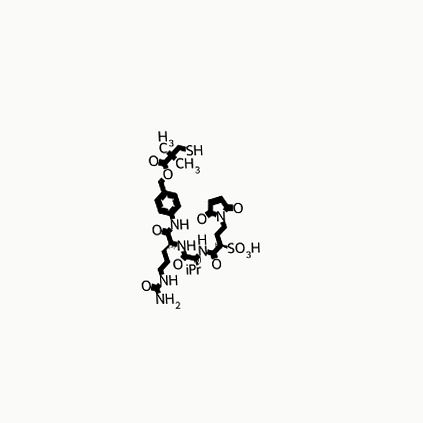 CC(C)[C@H](NC(=O)[C@@H](CCN1C(=O)C=CC1=O)S(=O)(=O)O)C(=O)N[C@@H](CCCNC(N)=O)C(=O)Nc1ccc(COC(=O)C(C)(C)CS)cc1